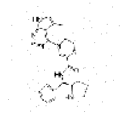 Cc1c[nH]c2ncnc(N3C=C(C(=O)NC(c4ccccc4)[C@H]4CCCN4)SCC3)c12